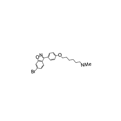 CNCCCCCCOc1ccc(-c2noc3cc(Br)ccc23)cc1